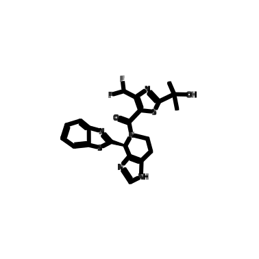 CC(C)(O)c1nc(C(F)F)c(C(=O)N2CCc3[nH]cnc3[C@H]2c2nc3ccccc3s2)s1